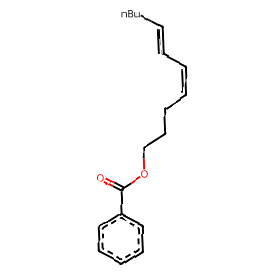 CCCC/C=C/C=C\CCCOC(=O)c1ccccc1